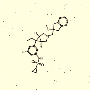 CCC1(c2cc(F)cc(NS(=O)(=O)C3CC3)c2)[C@@H]2CN(CC3(OC)Cc4ccccc4C3)C[C@@H]21